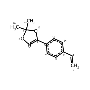 C=Cc1ccc(C2=NOC(C)(C)O2)cc1